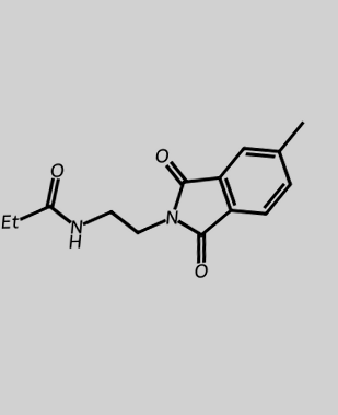 CCC(=O)NCCN1C(=O)c2ccc(C)cc2C1=O